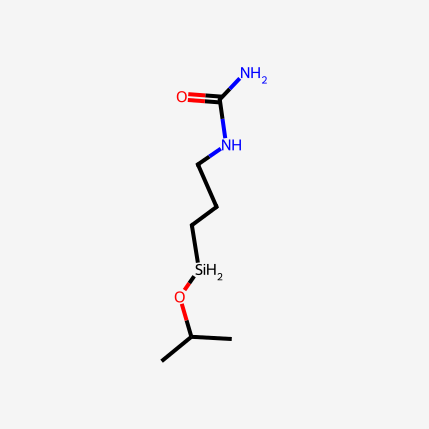 CC(C)O[SiH2]CCCNC(N)=O